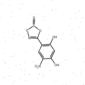 O=[N+]([O-])c1cc(C2=NOS(=O)O2)c(O)cc1O